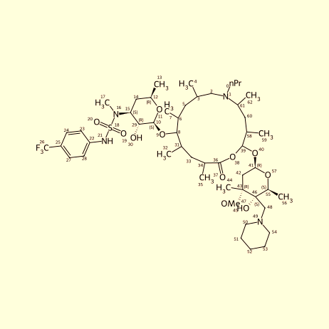 CCCN1CC(C)CC(C)C(O[C@@H]2O[C@H](C)C[C@H](N(C)S(=O)(=O)Nc3ccc(C(F)(F)F)cc3)[C@H]2O)C(C)CC(C)C(=O)OC(O[C@@H]2C[C@@](C)(OC)[C@](O)(CN3CCCCC3)[C@H](C)O2)C(C)CC1C